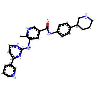 Cc1ncc(C(=O)Nc2ccc(C3CCCNC3)cc2)cc1Nc1nccc(-c2cccnc2)n1